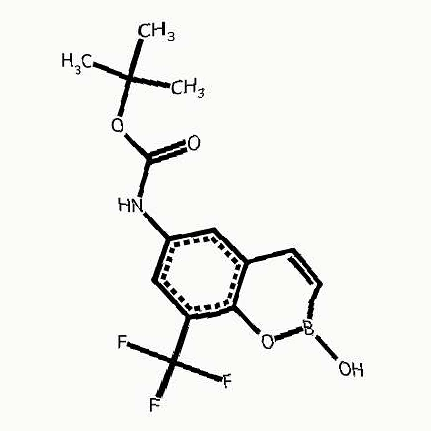 CC(C)(C)OC(=O)Nc1cc2c(c(C(F)(F)F)c1)OB(O)C=C2